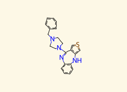 c1ccc(CN2CCN(C3=Nc4ccccc4Nc4cscc43)CC2)cc1